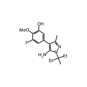 CCC(C)(CC)n1nc(C)c(-c2cc(O)c(OC)c(F)c2)c1N